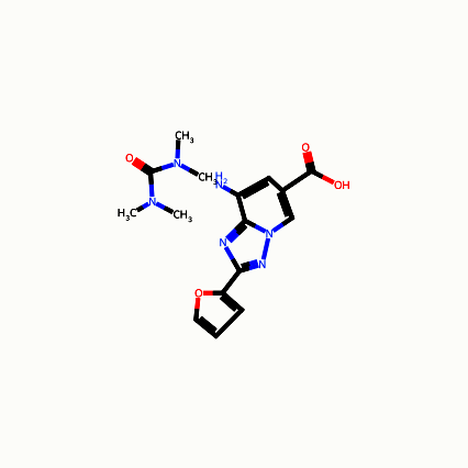 CN(C)C(=O)N(C)C.Nc1cc(C(=O)O)cn2nc(-c3ccco3)nc12